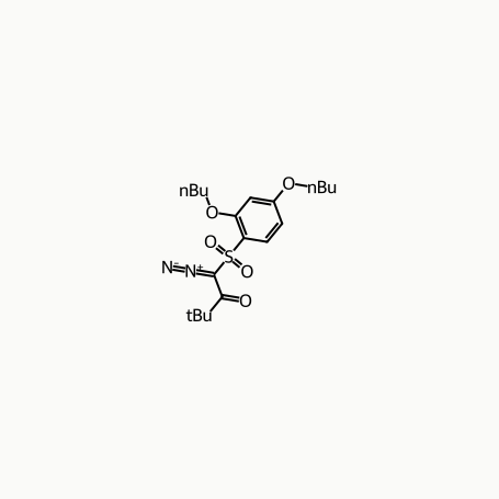 CCCCOc1ccc(S(=O)(=O)C(=[N+]=[N-])C(=O)C(C)(C)C)c(OCCCC)c1